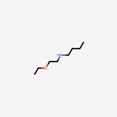 [CH2]COCCNCCCC